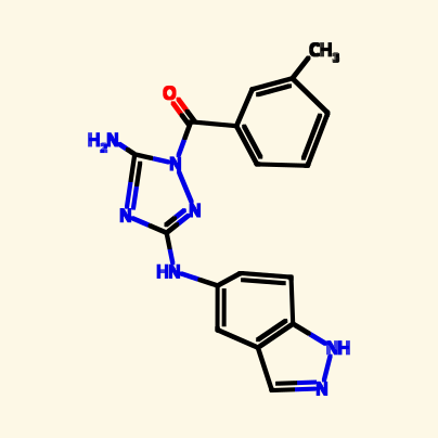 Cc1cccc(C(=O)n2nc(Nc3ccc4[nH]ncc4c3)nc2N)c1